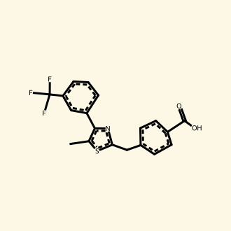 Cc1sc(Cc2ccc(C(=O)O)cc2)nc1-c1cccc(C(F)(F)F)c1